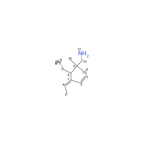 C/C=C\C(=C/C)C(CC(C)C)C(C)(C)CN